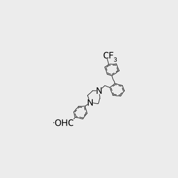 O=[C]c1ccc(N2CCN(Cc3ccccc3-c3ccc(C(F)(F)F)cc3)CC2)cc1